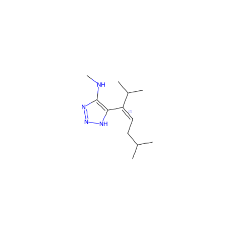 CNc1nn[nH]c1/C(=C\CC(C)C)C(C)C